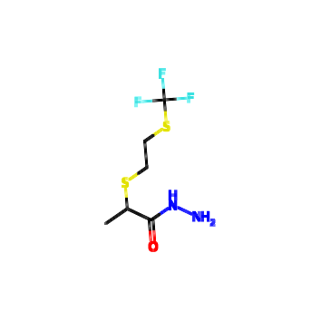 CC(SCCSC(F)(F)F)C(=O)NN